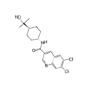 CC(C)(O)[C@H]1CC[C@H](NC(=O)c2cnc3cc(Cl)c(Cl)cc3c2)CC1